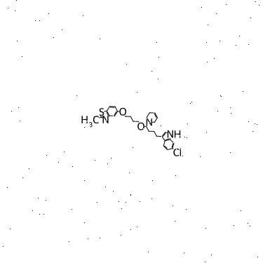 Cc1nc2cc(OCCCCOC(CCCc3c[nH]c4cc(Cl)ccc34)N3CC=CCC3)ccc2s1